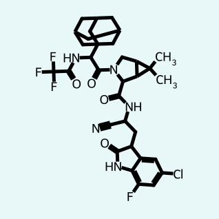 CC1(C)C2CN(C(=O)C(NC(=O)C(F)(F)F)C34CC5CC(CC(C5)C3)C4)C(C(=O)NC(C#N)CC3C(=O)Nc4c(F)cc(Cl)cc43)C21